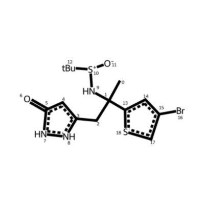 CC(Cc1cc(=O)[nH][nH]1)(N[S+]([O-])C(C)(C)C)c1cc(Br)cs1